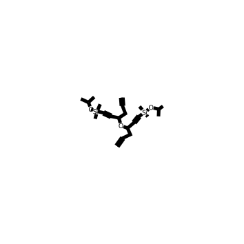 C#CCC(C#C[Si](C)(C)OC(C)C)OC(C#C[Si](C)(C)OC(C)C)CC#C